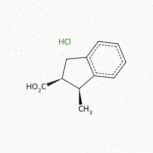 C[C@@H]1c2ccccc2C[C@@H]1C(=O)O.Cl